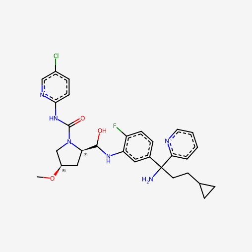 CO[C@@H]1C[C@H](C(O)Nc2cc(C(N)(CCC3CC3)c3ccccn3)ccc2F)N(C(=O)Nc2ccc(Cl)cn2)C1